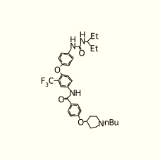 CCCCN1CCC(Oc2ccc(C(=O)Nc3ccc(Oc4ccc(NC(=O)NC(CC)CC)cc4)c(C(F)(F)F)c3)cc2)CC1